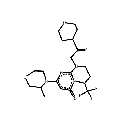 CC1COCCN1c1cc(=O)n2c(n1)N(CC(=O)C1CCOCC1)CCC2C(F)(F)F